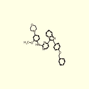 COc1cc(N2CCOCC2)ccc1Nc1nccc(-c2c(-c3ccc(OCc4ccccc4)cc3)nc3ccccn23)n1